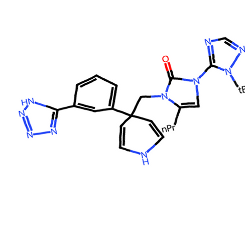 CCCc1cn(-c2ncnn2C(C)(C)C)c(=O)n1CC1(c2cccc(-c3nnn[nH]3)c2)C=CNC=C1